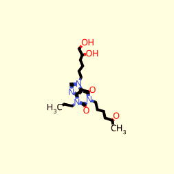 CCCn1c(=O)n(CCCCC(C)=O)c(=O)c2c1ncn2CCCCC(O)CO